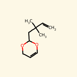 C=CC(C)(C)CC1OC=CCO1